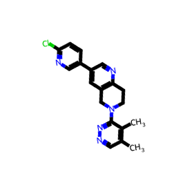 Cc1cnnc(N2CCc3ncc(-c4ccc(Cl)nc4)cc3C2)c1C